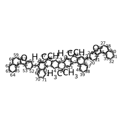 CC1(C)c2cc3c(cc2-c2cc4c(cc21)-c1c(cc(-c2ccc5c(c2)oc2ccc6ccccc6c25)c2ccccc12)C4(C)C)C(C)(C)c1cc(-c2ccc4c(c2)oc2ccc5ccccc5c24)c2ccccc2c1-3